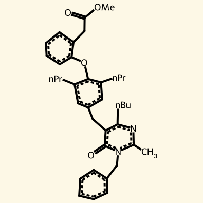 CCCCc1nc(C)n(Cc2ccccc2)c(=O)c1Cc1cc(CCC)c(Oc2ccccc2CC(=O)OC)c(CCC)c1